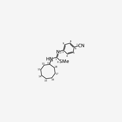 CS/C(=N\c1ccc(C#N)cc1)NC1CCCCCCC1